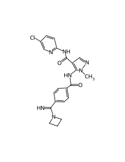 Cn1ncc(C(=O)Nc2ccc(Cl)cn2)c1NC(=O)c1ccc(C(=N)N2CCC2)cc1